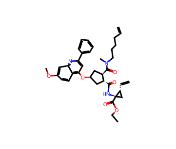 C=CCCCCN(C)C(=O)[C@@H]1C[C@H](Oc2cc(-c3ccccc3)nc3cc(OC)ccc23)C[C@H]1C(=O)N[C@]1(C(=O)OCC)C[C@H]1C=C